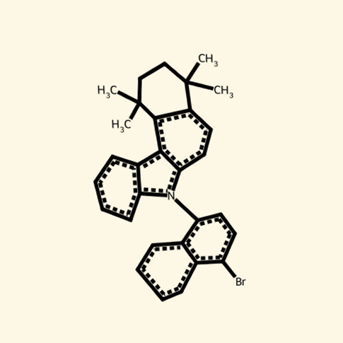 CC1(C)CCC(C)(C)c2c1ccc1c2c2ccccc2n1-c1ccc(Br)c2ccccc12